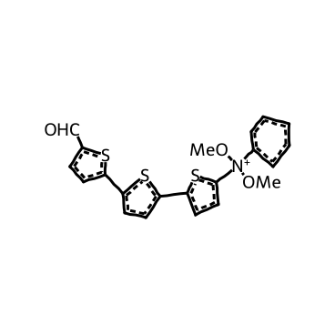 CO[N+](OC)(c1ccccc1)c1ccc(-c2ccc(-c3ccc(C=O)s3)s2)s1